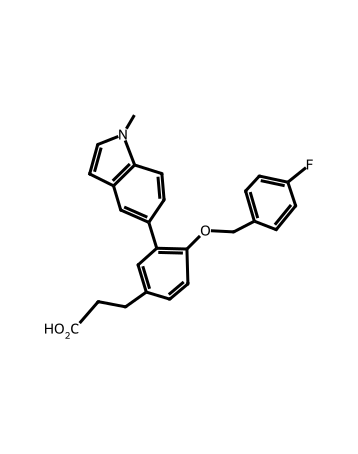 Cn1ccc2cc(-c3cc(CCC(=O)O)ccc3OCc3ccc(F)cc3)ccc21